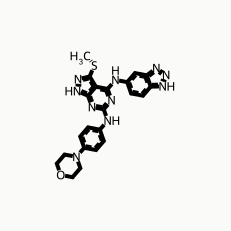 CSc1n[nH]c2nc(Nc3ccc(N4CCOCC4)cc3)nc(Nc3ccc4[nH]nnc4c3)c12